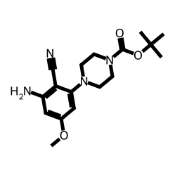 COc1cc(N)c(C#N)c(N2CCN(C(=O)OC(C)(C)C)CC2)c1